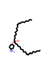 CCCCC/C=C/C=C\CCCCCCCCC(O)(CCCCCCCC/C=C\CCCCCCC)OC1CCC(N)CC1